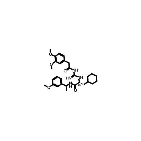 COc1cccc(C(C)NC(=O)[C@@H](CC2CCCCC2)NC(=N)NC(=O)Cc2ccc(OC)c(OC)c2)c1